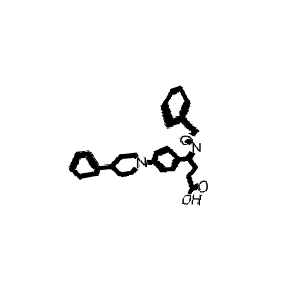 O=C(O)CCC(=NOCc1ccccc1)c1ccc(N2CCC(c3ccccc3)CC2)cc1